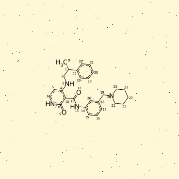 CC(CNc1cc[nH]c(=O)c1C(=O)Nc1cccc(CN2CCCCC2)c1)c1ccccc1